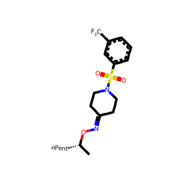 CCCCC[C@@H](C)ON=C1CCN(S(=O)(=O)c2cccc(C(F)(F)F)c2)CC1